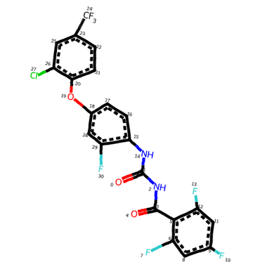 O=C(NC(=O)c1c(F)cc(F)cc1F)Nc1ccc(Oc2ccc(C(F)(F)F)cc2Cl)cc1F